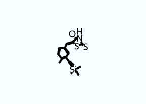 Cc1ccc(/C=C2\SC(=S)NC2=O)cc1C#C[Si](C)(C)C